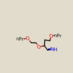 CCCOCCOC(C=N)CCOCCC